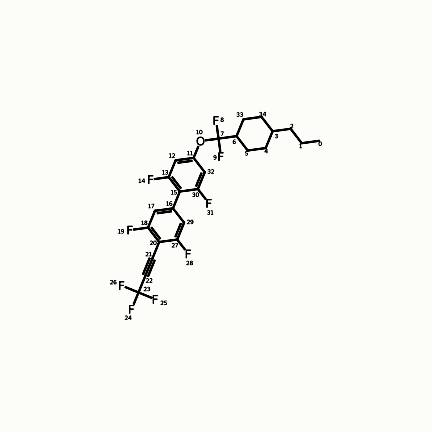 CCCC1CCC(C(F)(F)Oc2cc(F)c(-c3cc(F)c(C#CC(F)(F)F)c(F)c3)c(F)c2)CC1